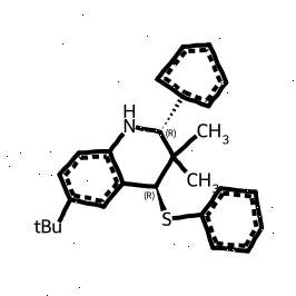 CC(C)(C)c1ccc2c(c1)[C@H](Sc1ccccc1)C(C)(C)[C@@H](c1ccccc1)N2